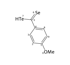 COc1ccc(C(=[Se])[TeH])cc1